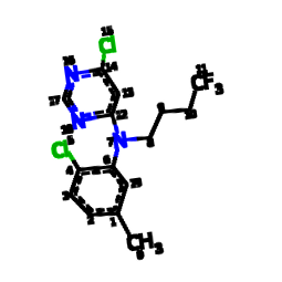 Cc1ccc(Cl)c(N(CCCC(F)(F)F)c2cc(Cl)ncn2)c1